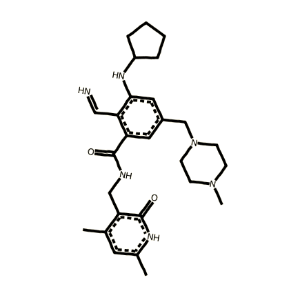 Cc1cc(C)c(CNC(=O)c2cc(CN3CCN(C)CC3)cc(NC3CCCC3)c2C=N)c(=O)[nH]1